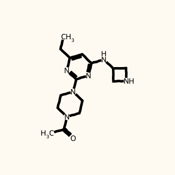 CCc1cc(NC2CNC2)nc(N2CCN(C(C)=O)CC2)n1